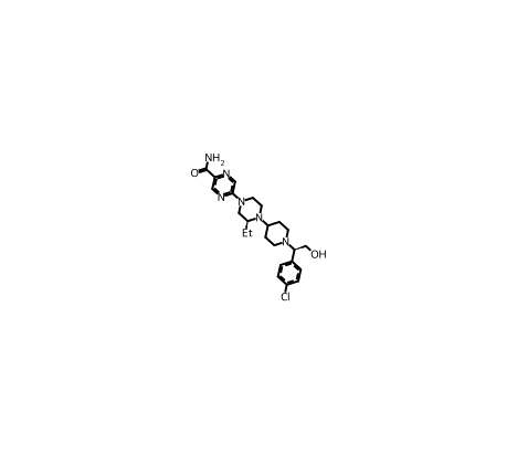 CC[C@H]1CN(c2cnc(C(N)=O)cn2)CCN1C1CCN([C@@H](CO)c2ccc(Cl)cc2)CC1